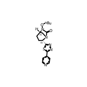 CCCCON1C(=O)N2C[C@@H]1CC[C@H]2c1nnc(-c2ccncc2)s1